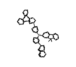 CC1(C)c2ccccc2-c2ccc(N(c3ccc(-c4ccc5c6ccccc6c6ccccc6c5c4)cc3)c3cccc(-c4ccc5ccccc5c4)c3)cc21